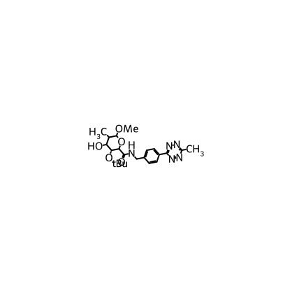 COC1OC(C(=O)NCc2ccc(-c3nnc(C)nn3)cc2)[C@@H](OC(C)(C)C)C(O)C1C